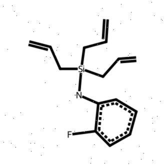 C=CC[Si](CC=C)(CC=C)[N]c1ccccc1F